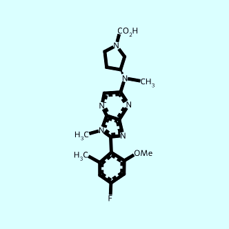 COc1cc(F)cc(C)c1-c1nc2nc(N(C)[C@@H]3CCN(C(=O)O)C3)cnc2n1C